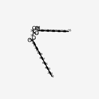 CC#CC#CC#CC#CC#CC#CC#CC(=O)OC[C@@H](CO)OC(=O)C#CC#CC#CC#CC#CC